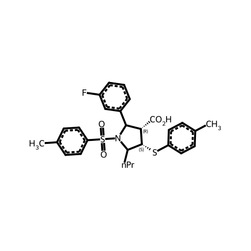 CCCC1[C@@H](Sc2ccc(C)cc2)[C@@H](C(=O)O)C(c2cccc(F)c2)N1S(=O)(=O)c1ccc(C)cc1